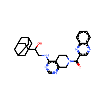 O=C(c1cnc2ccccc2n1)N1CCc2c(ncnc2NCC(O)C23CC4CC(CC(C4)C2)C3)C1